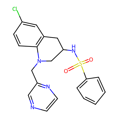 O=S(=O)(NC1Cc2cc(Cl)ccc2N(Cc2cnccn2)C1)c1ccccc1